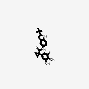 CC(C)(C)C1Cc2cc(NC(=O)C3(c4cc(O)c(O)c(F)c4)CC3)ccc2N1